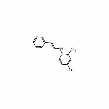 Cc1ccc(N/N=C/c2cccnc2)c(C)c1